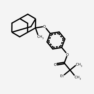 CCC(C)(C)C(=O)Oc1ccc(OC2(C)C3CC4CC(C3)CC2C4)cc1